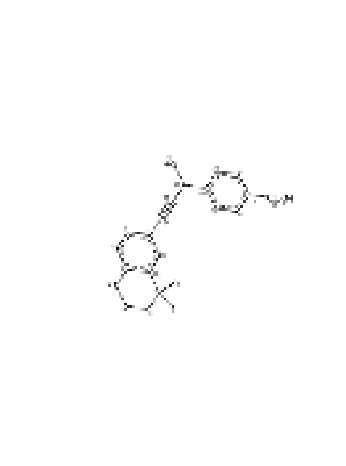 CC1(C)CCSc2ccc(C#CC(O)c3ccc(C(=O)O)cc3)cc21